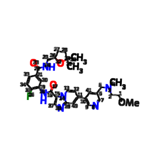 COCCN(C)Cc1cncc(-c2ccn3c(C(=O)Nc4cc(C(=O)NC[C@H]5CCC(C)(C)O5)ccc4F)cnc3c2)c1